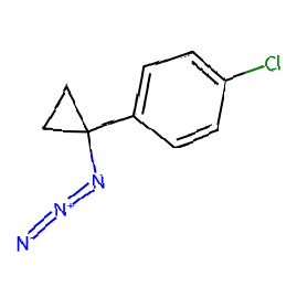 [N-]=[N+]=NC1(c2ccc(Cl)cc2)CC1